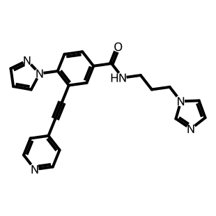 O=C(NCCCn1ccnc1)c1ccc(-n2cccn2)c(C#Cc2ccncc2)c1